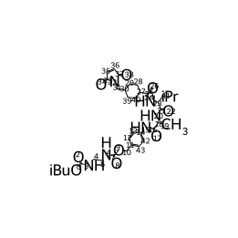 CC(C)COC(=O)NCCNC(=O)OCc1ccc(NC(=O)[C@H](C)NC(=O)[C@@H](NC(=O)C2CCC(CN3C(=O)C=CC3=O)CC2)C(C)C)cc1